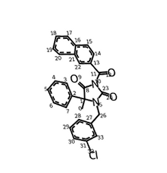 CC1(c2ccccc2)C(=O)N(C(=O)c2ccc3ccccc3c2)C(=O)N1Cc1cccc(Cl)c1